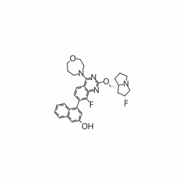 Oc1cc(-c2ccc3c(N4CCCOCC4)nc(OC[C@]45CCCN4C[C@H](F)C5)nc3c2F)c2ccccc2c1